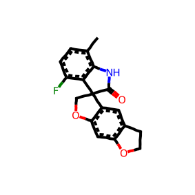 Cc1ccc(F)c2c1NC(=O)C21COc2cc3c(cc21)CCO3